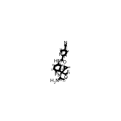 N#Cc1ccc(C(=O)Nc2ccc(F)c(C3(C4CC4)N=C(N)COC3F)c2)nc1